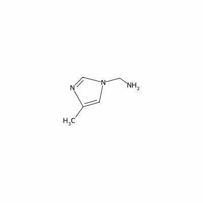 Cc1cn(CN)cn1